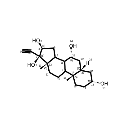 C#C[C@]1(O)[C@@H](O)CC2C3C(CC[C@@]21C)[C@@]1(C)CC[C@@H](O)C[C@H]1C[C@H]3O